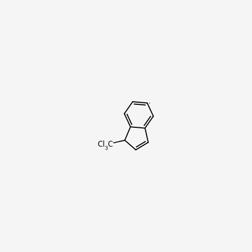 ClC(Cl)(Cl)C1C=Cc2c[c]ccc21